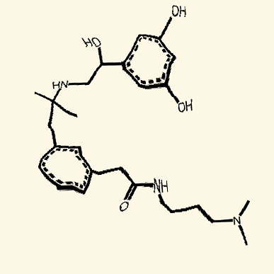 CN(C)CCCNC(=O)Cc1cccc(CC(C)(C)NCC(O)c2cc(O)cc(O)c2)c1